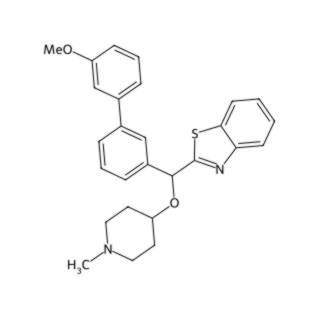 COc1cccc(-c2cccc(C(OC3CCN(C)CC3)c3nc4ccccc4s3)c2)c1